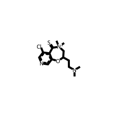 CN(C)CCC1C[N+](C)(C)C(=S)c2c(Cl)cncc2O1